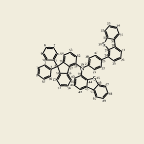 c1ccc(C2(c3ccccc3)c3ccccc3-c3c(N(c4ccc(-c5cccc6c5sc5ccccc56)cc4)c4cccc5c4sc4ccccc45)cccc32)cc1